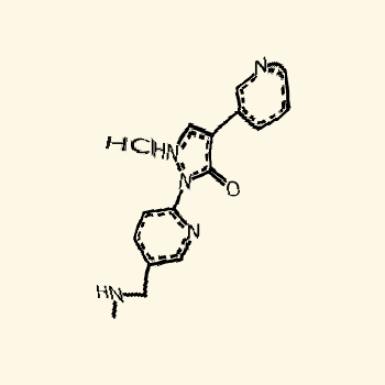 CNCc1ccc(-n2[nH]cc(-c3cccnc3)c2=O)nc1.Cl